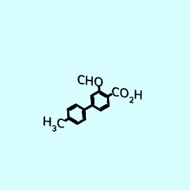 Cc1ccc(-c2ccc(C(=O)O)c(C=O)c2)cc1